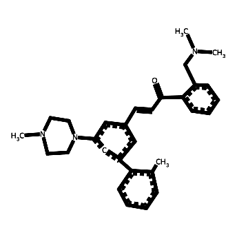 Cc1ccccc1-c1cc(C=CC(=O)c2ccccc2CN(C)C)cc(N2CCN(C)CC2)c1